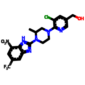 CC1CN(c2ncc(CO)cc2Cl)CCN1c1nc2cc(C(F)(F)F)cc([N+](=O)[O-])c2[nH]1